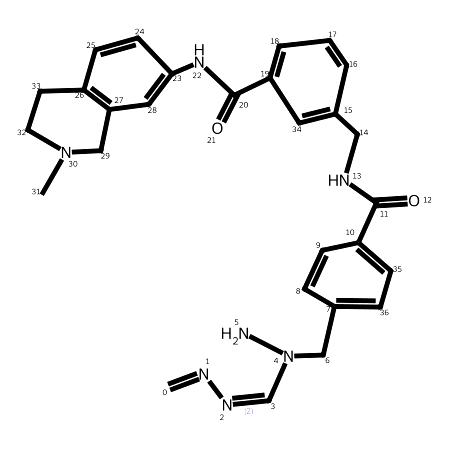 C=N/N=C\N(N)Cc1ccc(C(=O)NCc2cccc(C(=O)Nc3ccc4c(c3)CN(C)CC4)c2)cc1